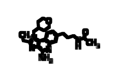 CCc1nc2c(N)nc3cc(CCCNC(C)=O)ccc3c2n1CC1CCOCC1